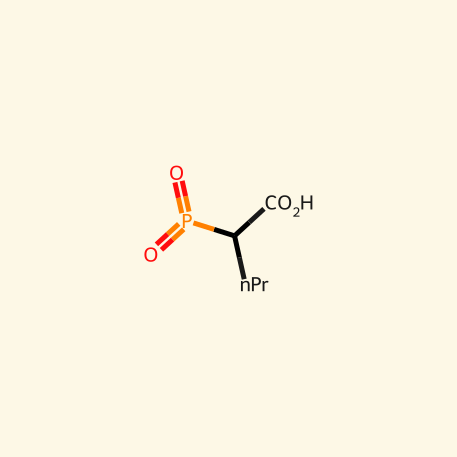 CCCC(C(=O)O)P(=O)=O